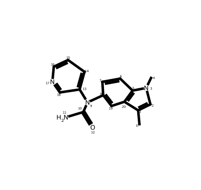 Cc1cn(C)c2ccc(N(C(N)=O)c3cccnc3)cc12